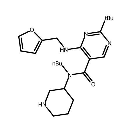 CCCCN(C(=O)c1cnc(C(C)(C)C)nc1NCc1ccco1)C1CCCNC1